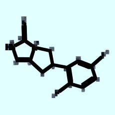 Fc1ccc(F)c(C2Cc3c[nH]c(=S)n3C2)c1